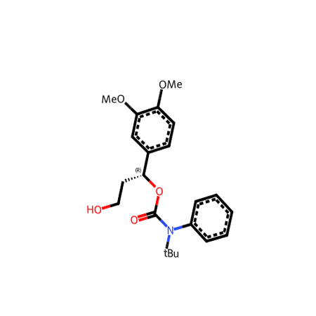 COc1ccc([C@@H](CCO)OC(=O)N(c2ccccc2)C(C)(C)C)cc1OC